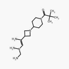 CC(C)(C)C(=O)N1CCC(N2CC(/C(N)=C/N(N)CN)C2)CC1